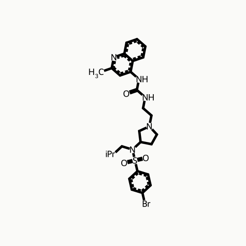 Cc1cc(NC(=O)NCCN2CCC(N(CC(C)C)S(=O)(=O)c3ccc(Br)cc3)C2)c2ccccc2n1